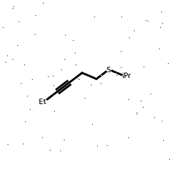 CCC#CCCSC(C)C